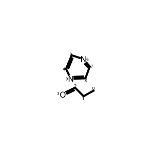 CCC=O.c1cnccn1